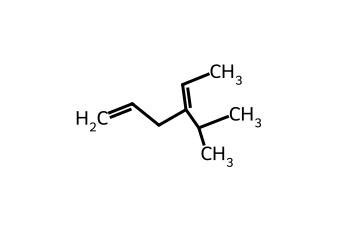 C=CCC(=CC)C(C)C